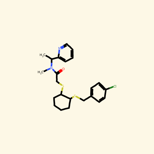 CC(c1ccccn1)N(C)C(=O)CSC1CCCCC1SCc1ccc(Cl)cc1